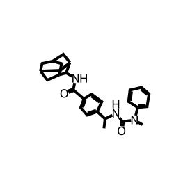 CC(NC(=O)N(C)c1ccccc1)c1ccc(C(=O)NC2C3CC4CC(C3)CC2C4)cc1